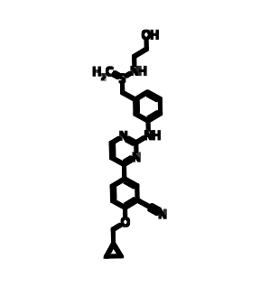 C=S(Cc1cccc(Nc2nccc(-c3ccc(OCC4CC4)c(C#N)c3)n2)c1)NCCO